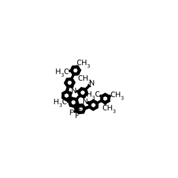 Cc1cc(-c2c(-n3c4ccccc4c4ccc(-c5c(C)cc(C)cc5C)cc43)cc(C#N)cc2-n2c3ccccc3c3ccc(-c4c(C)cc(C)cc4C)cc32)cc(C(F)(F)F)c1